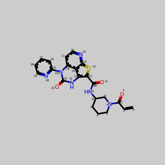 C=CC(=O)N1CCCC(NC(=O)c2sc3nccc4c3c2NC(=O)N4c2ccccn2)C1